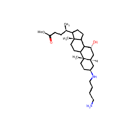 COC(=O)CC[C@@H](C)C1CCC2C3C(CC[C@@]21C)[C@@]1(C)CC[C@H](NCCCCN)C[C@@H]1C[C@H]3O